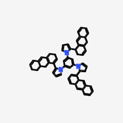 C1=CC2=CC3=C(C=CCC3c3cccn3-c3cc(-n4cccc4C4=CCCC5=C4CC4CCC=CC4=C5)cc(-n4cccc4C4=CC=CC5C=c6ccccc6=CC45)c3)CC2C=C1